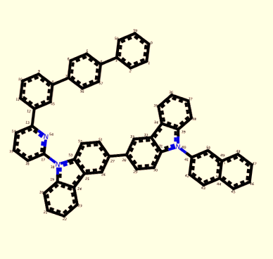 c1ccc(-c2ccc(-c3cccc(-c4cccc(-n5c6ccccc6c6cc(-c7ccc8c(c7)c7ccccc7n8-c7ccc8ccccc8c7)ccc65)n4)c3)cc2)cc1